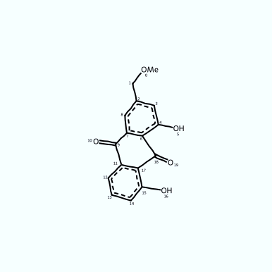 COCc1cc(O)c2c(c1)C(=O)c1cccc(O)c1C2=O